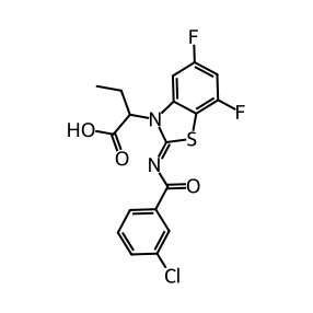 CCC(C(=O)O)n1/c(=N/C(=O)c2cccc(Cl)c2)sc2c(F)cc(F)cc21